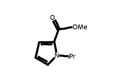 COC(=O)c1cccn1C(C)C